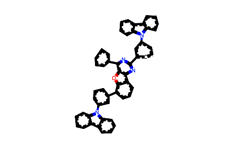 c1ccc(-c2nc(-c3cccc(-n4c5ccccc5c5ccccc54)c3)nc3c2oc2c(-c4cccc(-n5c6ccccc6c6ccccc65)c4)cccc23)cc1